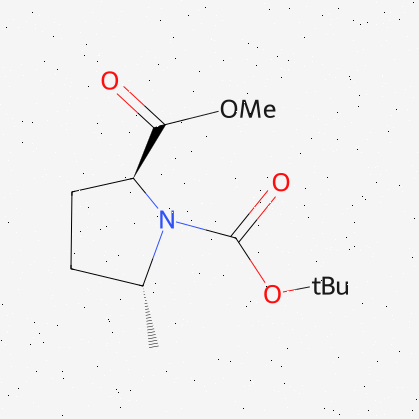 COC(=O)[C@@H]1CC[C@@H](C)N1C(=O)OC(C)(C)C